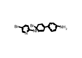 Nc1ccc(C2=CCC(Br)(Nc3ccc(Br)cn3)C=C2)cc1